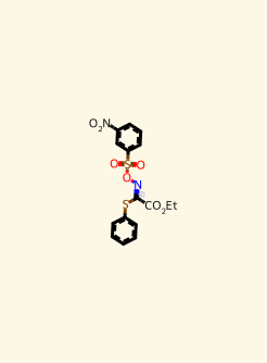 CCOC(=O)/C(=N/OS(=O)(=O)c1cccc([N+](=O)[O-])c1)Sc1ccccc1